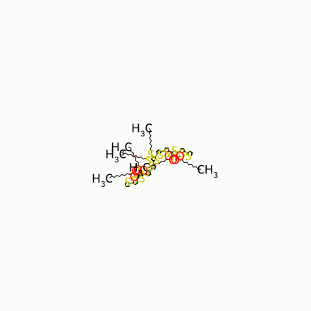 CCCCCCCCCCSc1c(-c2ccc(-c3ccc(-c4sc(-c5ccc(-c6cccs6)s5)c(S(=O)(=O)CCCCCCCCCC)c4S(=O)(=O)CCCCCCCCCC)s3)s2)sc(-c2ccc(-c3ccc(-c4sc(-c5ccc(-c6cccs6)s5)c(S(=O)(=O)CCCCCCCCCC)c4S(=O)(=O)CCCCCCCCCC)s3)s2)c1SCCCCCCCCCC